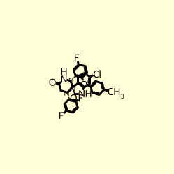 Cc1ccc(Oc2ccc(F)cc2[C@H]2NC(=O)C[C@@H](c3cc(F)ccc3F)[C@]23C(=O)Nc2cc(Cl)ccc23)cc1